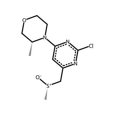 C[C@@H]1COCCN1c1cc(C[S@+](C)[O-])nc(Cl)n1